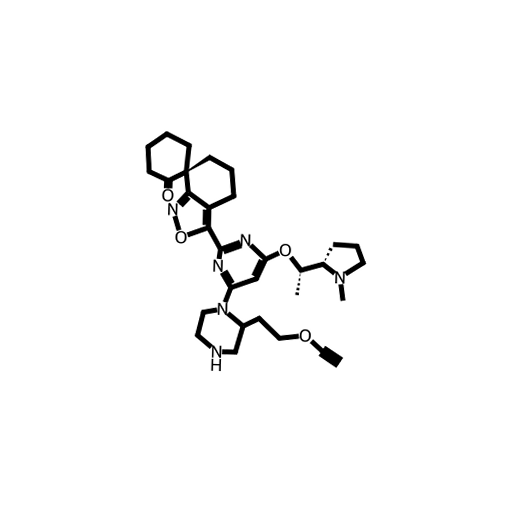 C#COCCC1CNCCN1c1cc(O[C@@H](C)[C@@H]2CCCN2C)nc(-c2onc3c2CCC[C@@]32CCCCC2=O)n1